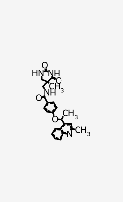 Cc1cc(C(C)Oc2ccc(C(=O)NCC3(C)CNC(=O)NC3=O)cc2)c2ccccc2n1